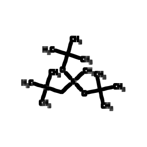 CC(C)(C)O[Si](C)(C[Si](C)(C)C)OC(C)(C)C